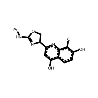 CC(C)NC1=NC(c2cc(O)c3ccc(O)c(Cl)c3n2)CO1